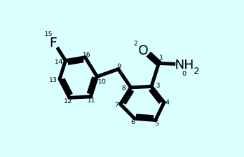 NC(=O)c1ccccc1Cc1cccc(F)c1